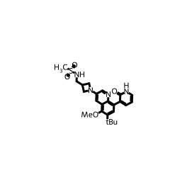 COc1c(C(C)(C)C)cc(-c2ccc[nH]c2=O)c2ncc(N3CC(CNS(C)(=O)=O)C3)cc12